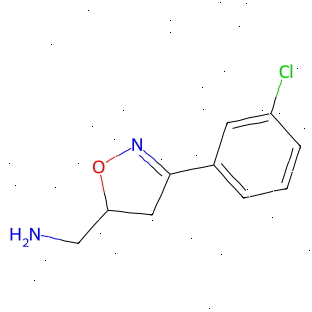 NCC1CC(c2cccc(Cl)c2)=NO1